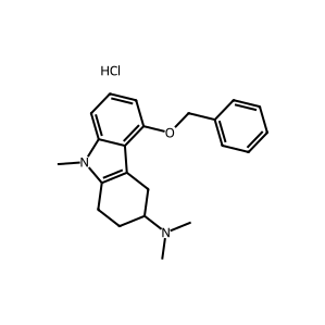 CN(C)C1CCc2c(c3c(OCc4ccccc4)cccc3n2C)C1.Cl